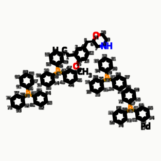 CCc1cc(C[C@@H]2CNCCO2)ccc1OC.[Pd].c1ccc(P(c2ccccc2)c2ccccc2)cc1.c1ccc(P(c2ccccc2)c2ccccc2)cc1.c1ccc(P(c2ccccc2)c2ccccc2)cc1.c1ccc(P(c2ccccc2)c2ccccc2)cc1